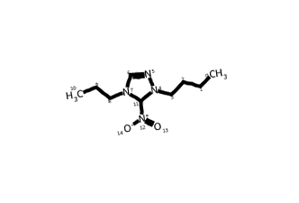 CCCCN1N=CN(CCC)C1[N+](=O)[O-]